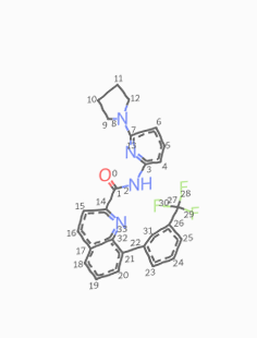 O=C(Nc1cccc(N2CCCC2)n1)c1ccc2cccc(-c3cccc(C(F)(F)F)c3)c2n1